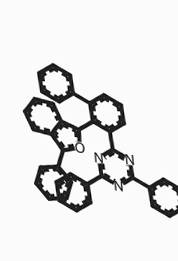 c1ccc(-c2nc(-c3ccccc3)nc(-c3cccc(-c4ccccc4)c3-c3oc(-c4ccccc4)c4ccccc34)n2)cc1